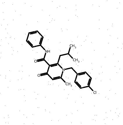 Cc1cc(=O)c(C(=O)Nc2ccccc2)c(CC(C)C)n1Cc1ccc(Cl)cc1